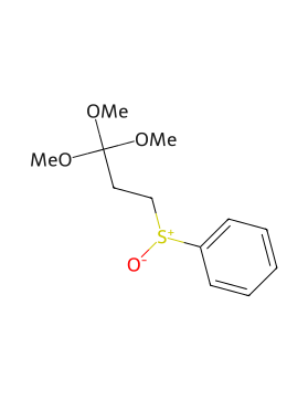 COC(CC[S+]([O-])c1ccccc1)(OC)OC